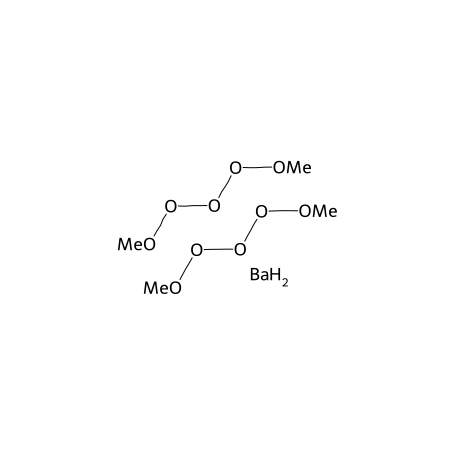 COOOOOC.COOOOOC.[BaH2]